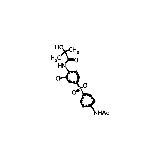 CC(=O)Nc1ccc(S(=O)(=O)c2ccc(NC(=O)C(C)(C)O)c(Cl)c2)cc1